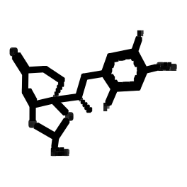 COc1cc(F)c(C[C@H](C)[C@]23CCC(=O)C=C2OC(SC)O3)cc1F